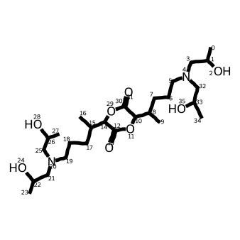 CC(O)CN(CCCC(C)C1OC(=O)C(C(C)CCCN(CC(C)O)CC(C)O)OC1=O)CC(C)O